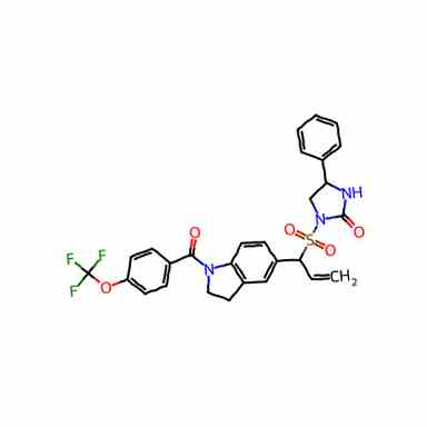 C=CC(c1ccc2c(c1)CCN2C(=O)c1ccc(OC(F)(F)F)cc1)S(=O)(=O)N1CC(c2ccccc2)NC1=O